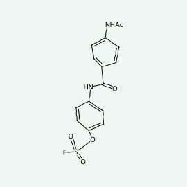 CC(=O)Nc1ccc(C(=O)Nc2ccc(OS(=O)(=O)F)cc2)cc1